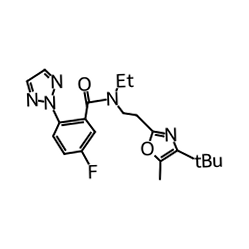 CCN(CCc1nc(C(C)(C)C)c(C)o1)C(=O)c1cc(F)ccc1-n1nccn1